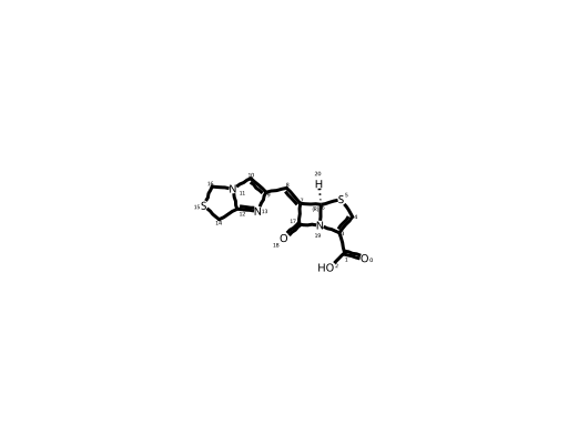 O=C(O)C1=CS[C@@H]2C(=Cc3cn4c(n3)CSC4)C(=O)N12